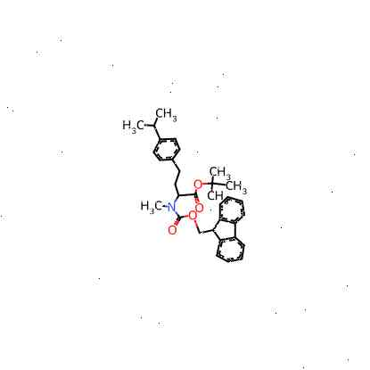 CC(C)c1ccc(CCC(C(=O)OC(C)(C)C)N(C)C(=O)OCC2c3ccccc3-c3ccccc32)cc1